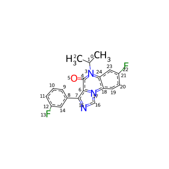 CC(C)n1c(=O)c2c(-c3cccc(F)c3)ncn2c2ccc(F)cc21